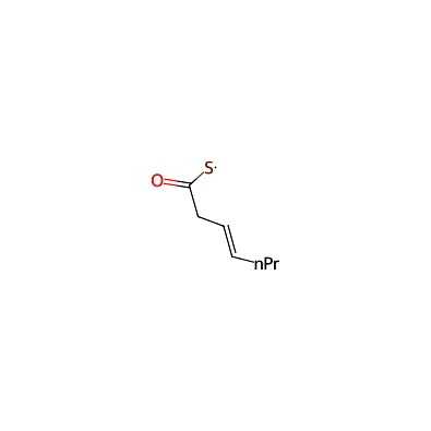 CCC/C=C/CC(=O)[S]